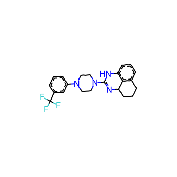 FC(F)(F)c1cccc(N2CCN(C3=NC4CCCc5cccc(c54)N3)CC2)c1